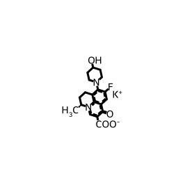 C[C@H]1CCc2c(N3CCC(O)CC3)c(F)cc3c(=O)c(C(=O)[O-])cn1c23.[K+]